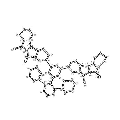 O=c1c2ccccc2n2c3ccc(-c4cc(-c5ccc6c(c5)c(=O)n5c(=O)c7ccccc7n65)cc(-c5c(-c6ccccc6)cccc5-c5ccccc5)c4)cc3c(=O)n12